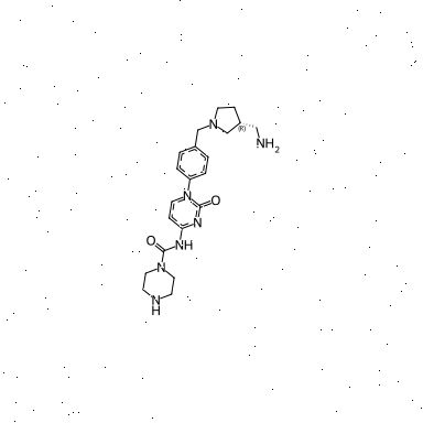 NC[C@H]1CCN(Cc2ccc(-n3ccc(NC(=O)N4CCNCC4)nc3=O)cc2)C1